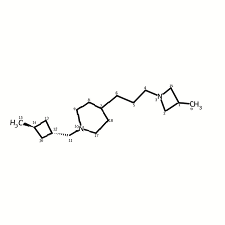 CC1CN(CCCC2CCN(C[C@H]3C[C@H](C)C3)CC2)C1